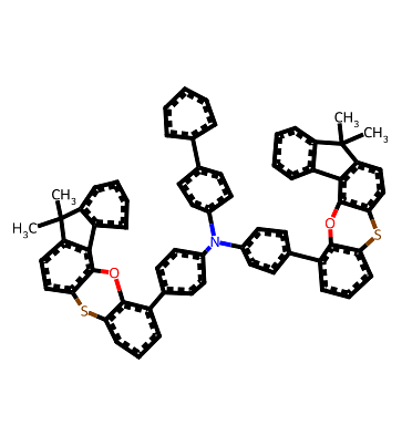 CC1(C)c2ccccc2-c2c1ccc1c2Oc2c(cccc2-c2ccc(N(c3ccc(-c4ccccc4)cc3)c3ccc(-c4cccc5c4Oc4c(ccc6c4-c4ccccc4C6(C)C)S5)cc3)cc2)S1